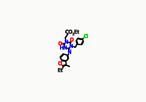 CCOC(=O)CCn1c(=O)[nH]/c(=N\c2ccc3oc(CC)c(C)c3c2)n(Cc2ccc(Cl)cc2)c1=O